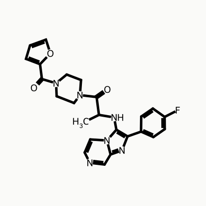 CC(Nc1c(-c2ccc(F)cc2)nc2cnccn12)C(=O)N1CCN(C(=O)c2ccco2)CC1